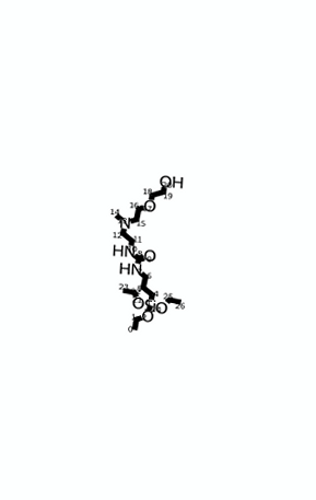 CCO[Si](CCCNC(=O)NCCN(C)CCOCCO)(OCC)OCC